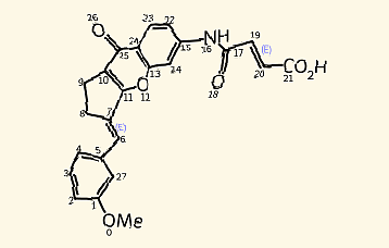 COc1cccc(/C=C2\CCc3c2oc2cc(NC(=O)/C=C/C(=O)O)ccc2c3=O)c1